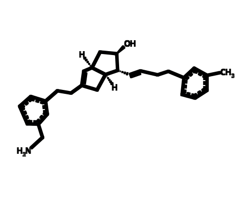 Cc1cccc(CC/C=C/[C@@H]2[C@H]3CC(CCc4cccc(CN)c4)=C[C@H]3C[C@H]2O)c1